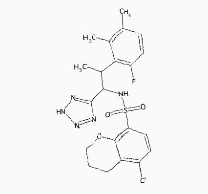 Cc1ccc(F)c(C(C)C(NS(=O)(=O)c2ccc(Cl)c3c2OCCC3)c2nn[nH]n2)c1C